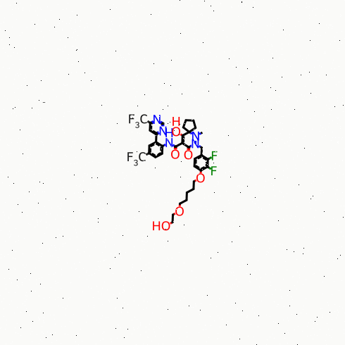 CN1N(Cc2ccc(OCCCCCOCCO)c(F)c2F)C(=O)C(C(=O)Nc2ccc(C(F)(F)F)cc2-c2cc(C(F)(F)F)ncn2)=C(O)C12CCCC2